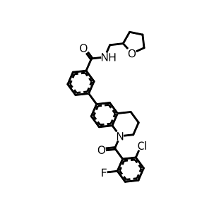 O=C(NCC1CCCO1)c1cccc(-c2ccc3c(c2)CCCN3C(=O)c2c(F)cccc2Cl)c1